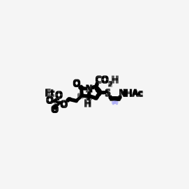 CCOS(=O)(=O)OCC[C@H]1C(=O)N2C(C(=O)O)=C(S/C=C\NC(C)=O)C[C@H]12